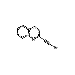 BrC#Cc1ccc2ccccc2n1